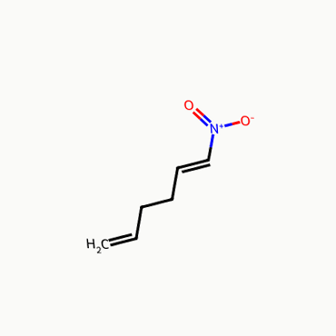 C=CCC/C=C/[N+](=O)[O-]